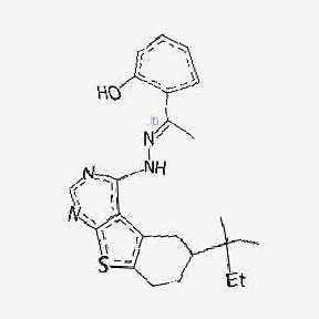 CCC(C)(C)C1CCc2sc3ncnc(N/N=C(\C)c4ccccc4O)c3c2C1